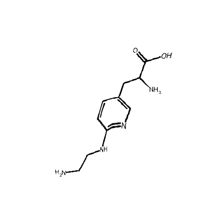 NCCNc1ccc(CC(N)C(=O)O)cn1